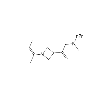 C=C(CN(C)CCC)C1CN(/C(C)=C\C)C1